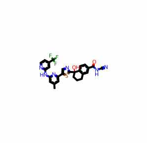 Cc1cc(Nc2cc(C(F)(F)F)ccn2)nc(-c2cnc([C@@]3(O)CCCc4cc(C(=O)NC#N)ccc43)s2)c1